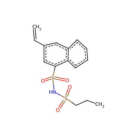 C=Cc1cc(S(=O)(=O)NS(=O)(=O)CCC)c2ccccc2c1